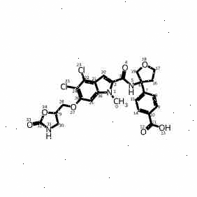 Cn1c(C(=O)NC2(c3ccc(C(=O)O)cc3)CCOC2)cc2c(Cl)c(Cl)c(OCC3CNC(=O)O3)cc21